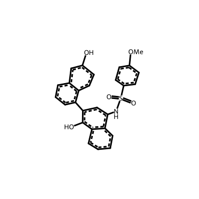 COc1ccc(S(=O)(=O)Nc2cc(-c3cccc4cc(O)ccc34)c(O)c3ccccc23)cc1